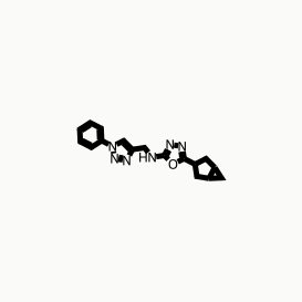 c1ccc(-n2cc(CNc3nnc(C4CC5CC5C4)o3)nn2)cc1